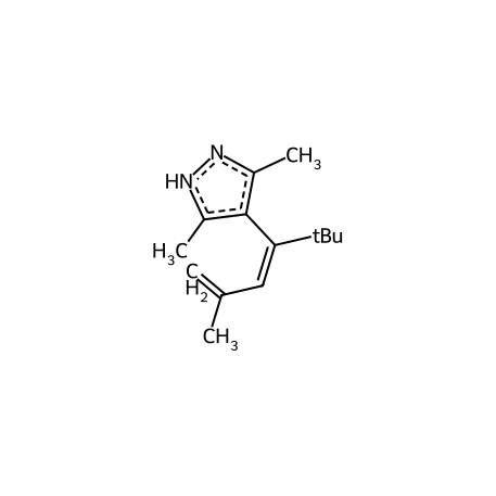 C=C(C)/C=C(\c1c(C)n[nH]c1C)C(C)(C)C